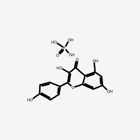 O=P(O)(O)O.O=c1c(O)c(-c2ccc(O)cc2)oc2cc(O)cc(O)c12